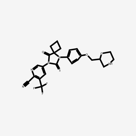 N#Cc1ncc(N2C(=O)C3(CCC3)N(c3ccc(OCC4CNCCO4)cc3)C2=S)cc1C(F)(F)F